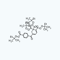 CCC(C)(C)OOC(=O)C1=CC=C(C(=O)c2ccc(C(=O)OOC(C)(C)CC)cc2)CC1(C(=O)OOC(C)(C)CC)C(=O)OOC(C)(C)CC